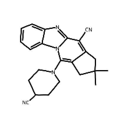 CC1(C)Cc2c(c(N3CCC(C#N)CC3)n3c(nc4ccccc43)c2C#N)C1